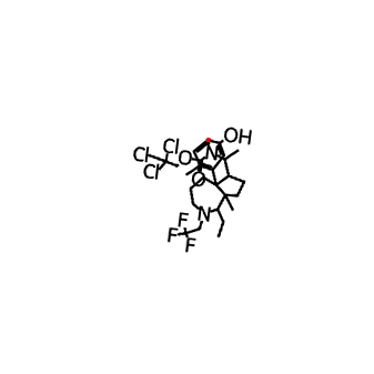 CCC1N(CC(F)(F)F)CCCC2(c3cc(O)ccc3C)C(C(C)N(C)C(=O)OCC(Cl)(Cl)Cl)CCC12C